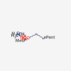 CCCCC/C=C\CCCC/C=C\CCCCCOC[C@H](COC)OP(=O)([O-])OCC[N+](C)(C)C